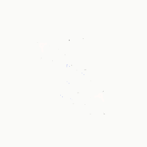 Fc1ccc2c(c1CNc1ncc(C3=CCCCO3)c3nncn13)CCO2